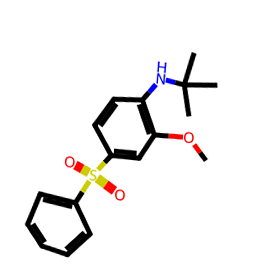 COc1cc(S(=O)(=O)c2ccccc2)ccc1NC(C)(C)C